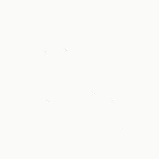 O=C1c2cnc3ccc(Nc4ccc(C(F)(F)F)cn4)cc3c2-c2cnc(C(F)(F)F)nc21